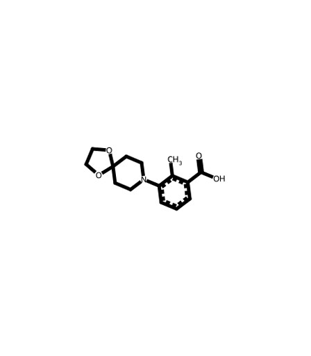 Cc1c(C(=O)O)cccc1N1CCC2(CC1)OCCO2